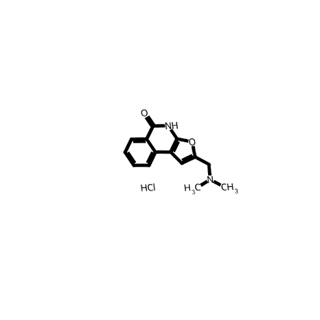 CN(C)Cc1cc2c([nH]c(=O)c3ccccc32)o1.Cl